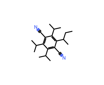 CCC(C)c1c(C#N)c(C(C)C)c(C(C)C)c(C#N)c1C(C)C